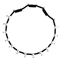 [C]1=C/C=C\C=C\CCCCCCCCCCCCCC/1